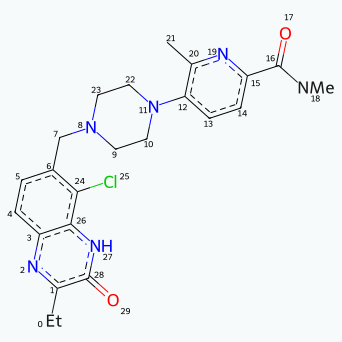 CCc1nc2ccc(CN3CCN(c4ccc(C(=O)NC)nc4C)CC3)c(Cl)c2[nH]c1=O